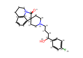 O=C1N2CCCc3cccc(c32)C12CCN(CCCC(O)c1ccc(F)cc1)CC2